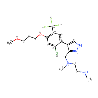 CNCCN(C)Cc1n[nH]cc1-c1cc(C(F)(F)F)c(OCCCOC)cc1Cl